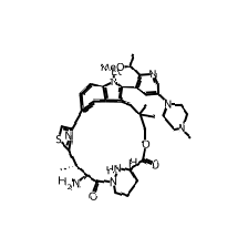 CCn1c(-c2cc(N3CCN(C)CC3)cnc2[C@H](C)OC)c2c3cc(ccc31)-c1csc(n1)[C@@H](C)[C@H](N)C(=O)N1CCC[C@H](N1)C(=O)OCC(C)(C)C2